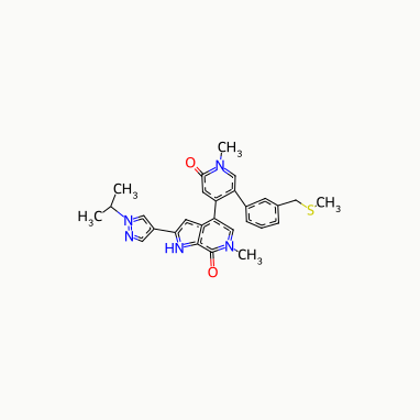 CSCc1cccc(-c2cn(C)c(=O)cc2-c2cn(C)c(=O)c3[nH]c(-c4cnn(C(C)C)c4)cc23)c1